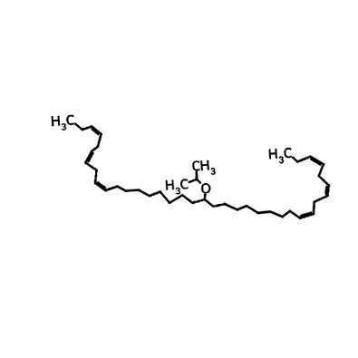 CC/C=C\C/C=C\C/C=C\CCCCCCCCC(CCCCCCCC/C=C\C/C=C\C/C=C\CC)OC(C)C